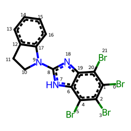 Brc1c(Br)c(Br)c2[nH]c(N3CCc4ccccc43)nc2c1Br